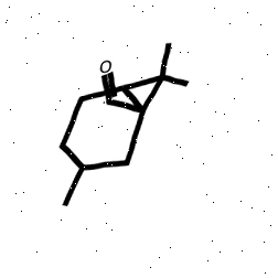 CC1CCC2C(C)(C)C2([C]=O)C1